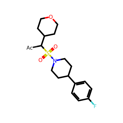 CC(=O)C(C1CCOCC1)S(=O)(=O)N1CCC(c2ccc(F)cc2)CC1